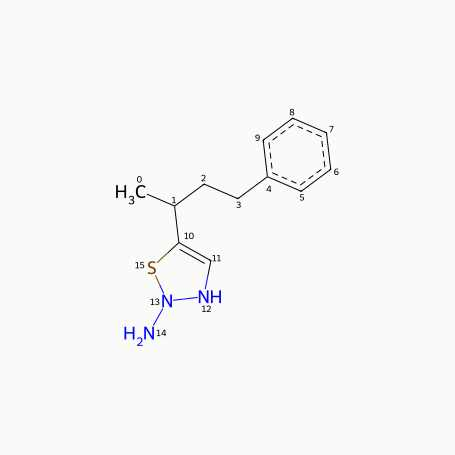 CC(CCc1ccccc1)C1=CNN(N)S1